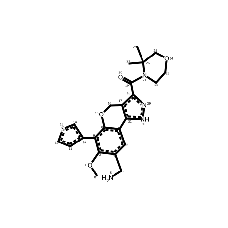 COc1c(CN)cc2c(c1-c1ccsc1)OCc1c(C(=O)N3CCOCC3(C)C)n[nH]c1-2